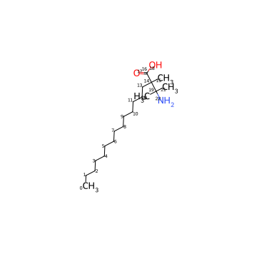 CCCCCCCCCCCCCCC(C)(C(=O)O)C(C)(C)N